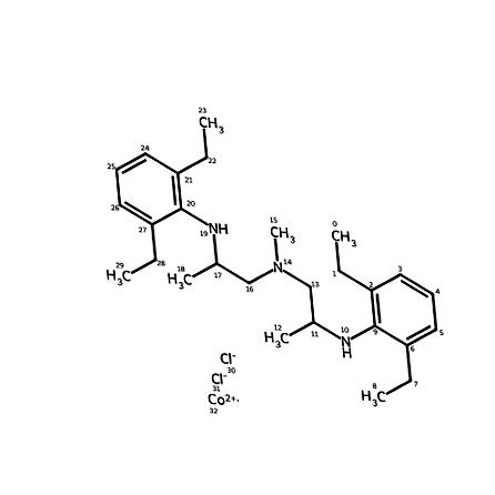 CCc1cccc(CC)c1NC(C)CN(C)CC(C)Nc1c(CC)cccc1CC.[Cl-].[Cl-].[Co+2]